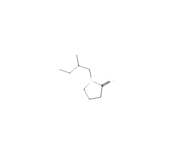 CCC(C)CN1CCCC1=N